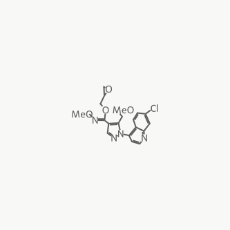 COCc1c(C(=NOC)OCC2CO2)cnn1-c1ccnc2cc(Cl)ccc12